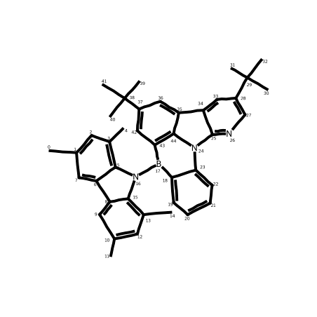 Cc1cc(C)c2c(c1)c1cc(C)cc(C)c1n2B1c2ccccc2-n2c3ncc(C(C)(C)C)cc3c3cc(C(C)(C)C)cc1c32